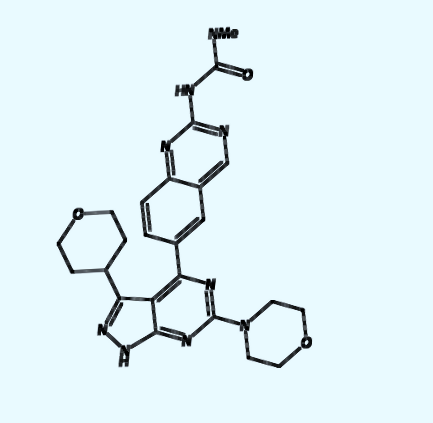 CNC(=O)Nc1ncc2cc(-c3nc(N4CCOCC4)nc4[nH]nc(C5CCOCC5)c34)ccc2n1